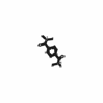 CN(C)C(=O)c1ccc(C(=O)N(C)C)cc1